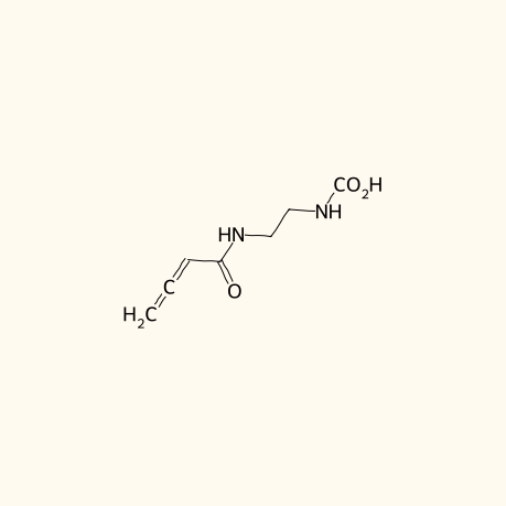 C=C=CC(=O)NCCNC(=O)O